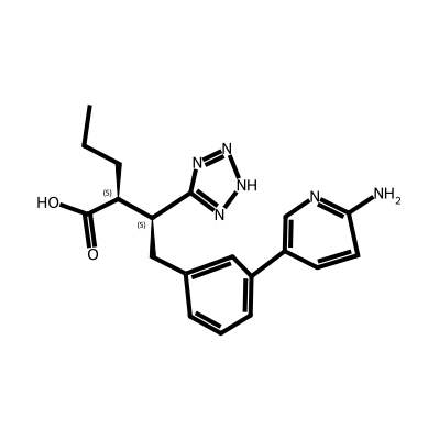 CCC[C@H](C(=O)O)[C@H](Cc1cccc(-c2ccc(N)nc2)c1)c1nn[nH]n1